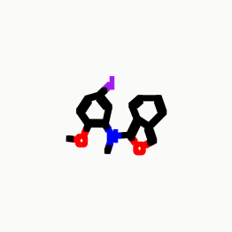 COc1ccc(I)cc1N(C)c1occ2ccccc12